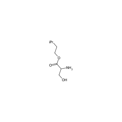 CC(C)CCOC(=O)C(N)CO